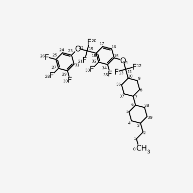 CCCC1CCC(C2CCC(C(F)(F)Oc3ccc(C(F)(F)Oc4cc(F)c(F)c(F)c4)c(F)c3F)CC2)CC1